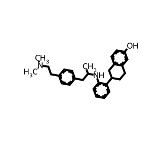 CC(Cc1ccc(CCN(C)C)cc1)Nc1ccccc1C1CCc2cc(O)ccc2C1